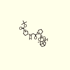 CC(C)(C)OC(=O)N1CC[C@@H](NCC(=O)N2CCC[C@H]2B2O[C@@H]3CC4CC(C4(C)C)[C@]3(C)O2)C1